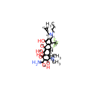 CCCCN(Cc1cc(O)c2c(c1C(F)(F)F)C[C@H]1C[C@H]3[C@H](N(C)C)C(O)=C(C(N)=O)C(=O)[C@@]3(O)C(O)=C1C2=O)CC1CC1